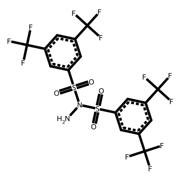 NN(S(=O)(=O)c1cc(C(F)(F)F)cc(C(F)(F)F)c1)S(=O)(=O)c1cc(C(F)(F)F)cc(C(F)(F)F)c1